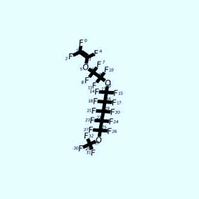 FC(F)=C(F)OC(F)(F)C(F)(F)OC(F)(F)C(F)(F)C(F)(F)C(F)(F)C(F)(F)OC(F)(F)F